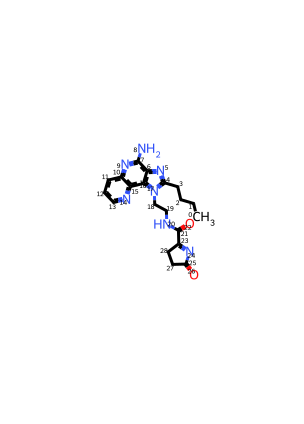 CCCCc1nc2c(N)nc3cccnc3c2n1CCNC(=O)C1=NC(=O)CC1